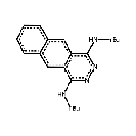 CCCCNc1nnc(NCCCC)c2cc3ccccc3cc12